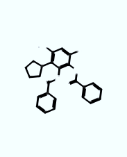 CCCCc1cc(CCC)c(OC(=O)c2ccccc2)c(OC(=O)c2ccccc2)c1C1CCCC1